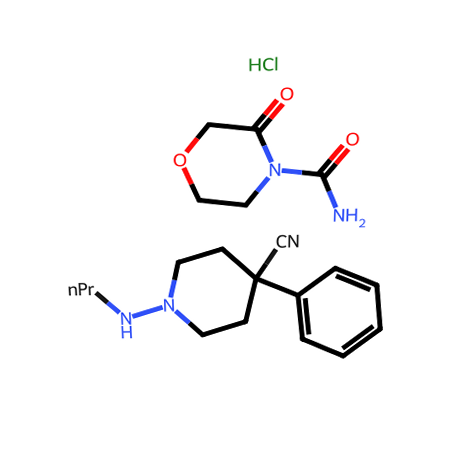 CCCNN1CCC(C#N)(c2ccccc2)CC1.Cl.NC(=O)N1CCOCC1=O